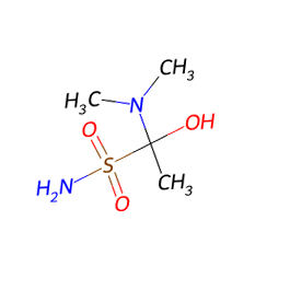 CN(C)C(C)(O)S(N)(=O)=O